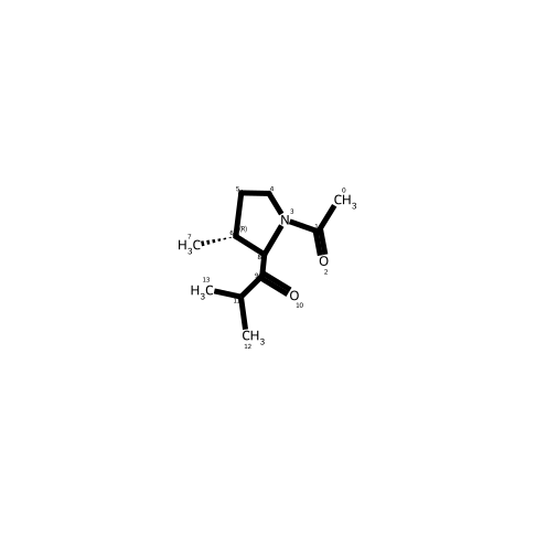 CC(=O)N1CC[C@@H](C)C1C(=O)C(C)C